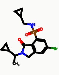 CC(C1CC1)N1Cc2cc(Br)cc(S(=O)(=O)NCC3CC3)c2C1=O